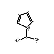 CC(O)[SH]1C=CC=C1